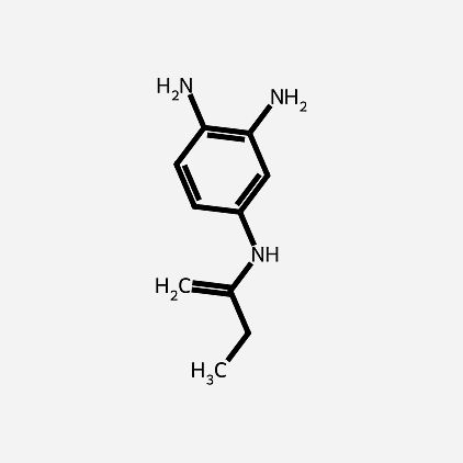 C=C(CC)Nc1ccc(N)c(N)c1